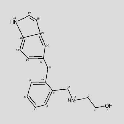 OCCNCc1ccccc1Cc1ccc2[nH]ccc2c1